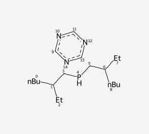 CCCCC(CC)CPCC(CC)CCCC.c1ncncn1